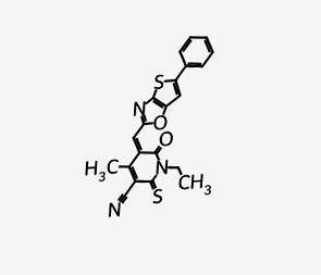 CCN1C(=O)/C(=C\c2nc3sc(-c4ccccc4)cc3o2)C(C)=C(C#N)C1=S